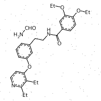 CCOc1ccc(C(=O)NCCc2cccc(Oc3ccnc(CC)c3CC)c2)cc1OCC.NC=O